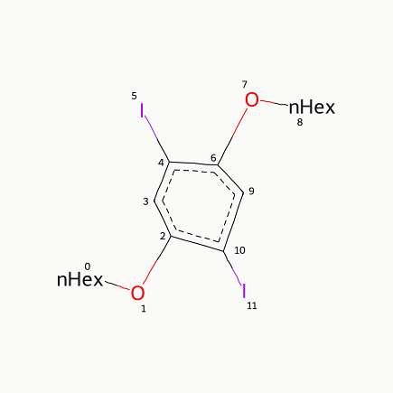 CCCCCCOc1cc(I)c(OCCCCCC)cc1I